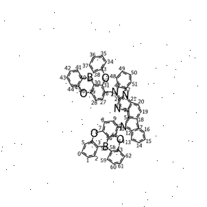 c1ccc2c(c1)Oc1ccc(-n3c4ccccc4c4ccc5c(nc6n(-c7ccc8c9c7Oc7ccccc7B9c7ccccc7O8)c7ccccc7n56)c43)c3c1B2c1ccccc1O3